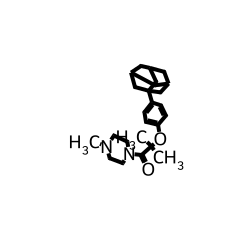 CN1CCN(C(=O)C(C)(C)Oc2ccc(C34CC5CC(CC(C5)C3)C4)cc2)CC1